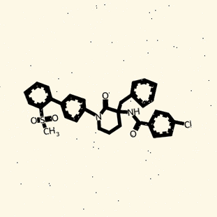 CS(=O)(=O)c1ccccc1-c1ccc(N2CCCC(Cc3ccccc3)(NC(=O)c3ccc(Cl)cc3)C2=O)cc1